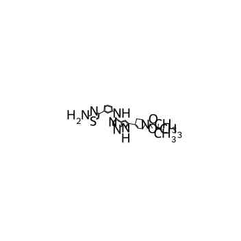 CC(C)(C)OC(=O)N1CC=C(c2cc3c(Nc4cccc(-c5csc(N)n5)c4)ncnc3[nH]2)CC1